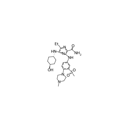 CCc1nc(C(N)=O)c(Nc2ccc(N3CCN(C)CC3)c(S(C)(=O)=O)c2)nc1N[C@H]1CC[C@H](O)CC1